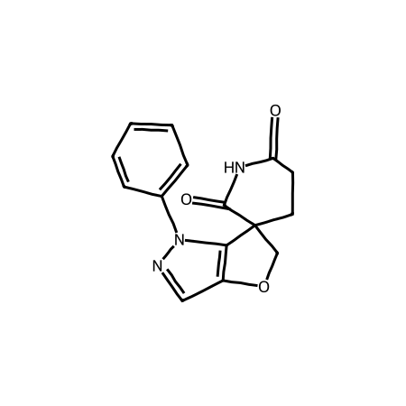 O=C1CCC2(COc3cnn(-c4ccccc4)c32)C(=O)N1